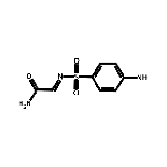 [NH]c1ccc(S(=O)(=O)N=CC(N)=O)cc1